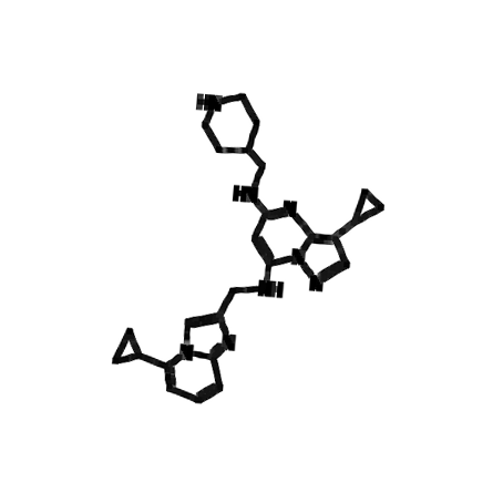 c1cc(C2CC2)n2cc(CNc3cc(NCC4CCNCC4)nc4c(C5CC5)cnn34)nc2c1